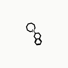 c1ccc2c(c1)CCC(N1CCCCCCC1)C2